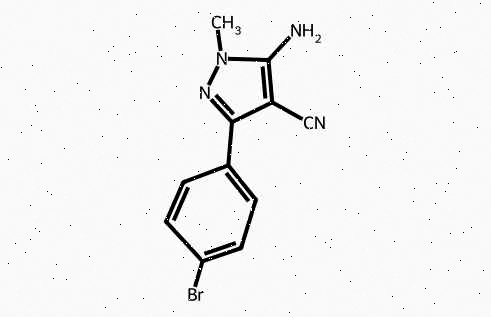 Cn1nc(-c2ccc(Br)cc2)c(C#N)c1N